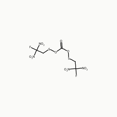 O=C(OSCC(F)([N+](=O)[O-])[N+](=O)[O-])OSCC(F)([N+](=O)[O-])[N+](=O)[O-]